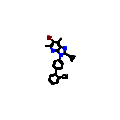 Cc1nc2c(nc(C3CC3)n2-c2ccc(-c3ccccc3C#N)cc2)c(C)c1Br